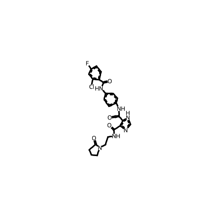 O=C(Nc1ccc(NC(=O)c2[nH]cnc2C(=O)NCCN2CCCC2=O)cc1)c1ccc(F)cc1Cl